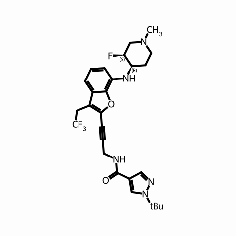 CN1CC[C@@H](Nc2cccc3c(CC(F)(F)F)c(C#CCNC(=O)c4cnn(C(C)(C)C)c4)oc23)[C@@H](F)C1